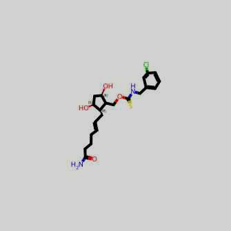 NC(=O)CCCC=CC[C@@H]1C(COC(=S)NCc2cccc(Cl)c2)[C@H](O)C[C@@H]1O